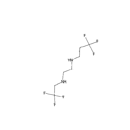 FC(F)(F)CCN[CH]CNCC(F)(F)F